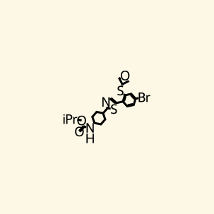 CC(C)OC(=O)NC1CCC(c2ncc(-c3ccc(Br)cc3SC3COC3)s2)CC1